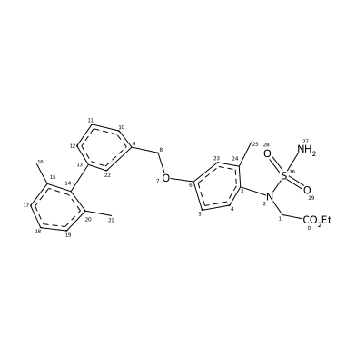 CCOC(=O)CN(c1ccc(OCc2cccc(-c3c(C)cccc3C)c2)cc1C)S(N)(=O)=O